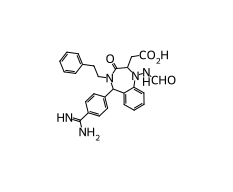 N=C(N)c1ccc(C2c3ccccc3N(NC=O)C(CC(=O)O)C(=O)N2CCc2ccccc2)cc1